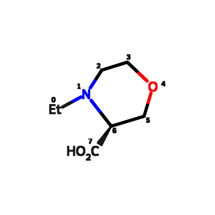 CCN1CCOC[C@H]1C(=O)O